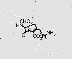 CC(N)SCC1=C(C(=O)O)N2C(=O)C(NC=O)C2SC1